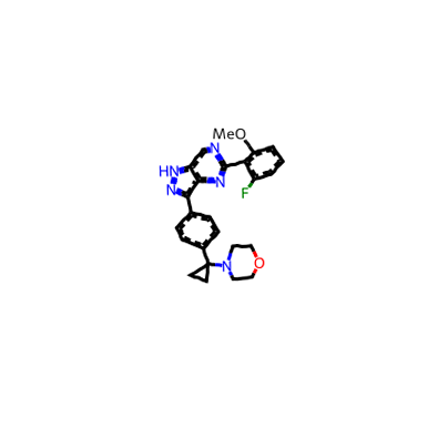 COc1cccc(F)c1-c1ncc2[nH]nc(-c3ccc(C4(N5CCOCC5)CC4)cc3)c2n1